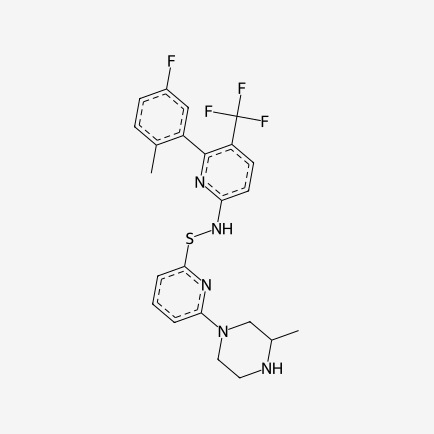 Cc1ccc(F)cc1-c1nc(NSc2cccc(N3CCNC(C)C3)n2)ccc1C(F)(F)F